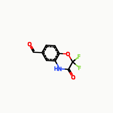 O=Cc1ccc2c(c1)NC(=O)C(F)(F)O2